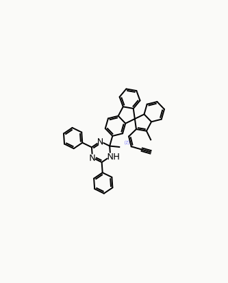 C#C/C=C\C1=C(C)C2C=CC=CC2C12c1ccccc1-c1ccc(C3(C)N=C(c4ccccc4)N=C(c4ccccc4)N3)cc12